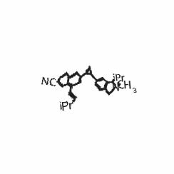 CC(C)C=Cc1cc(C2CC2c2ccc3c(c2)C(C(C)C)N(C)CC3)cc2ccc(C#N)cc12